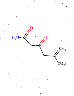 C=C(CC(=O)CC(N)=O)C(=O)O